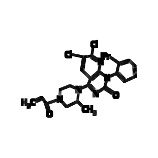 C=CC(=O)N1CCN(c2nc(=O)n(-c3ccccc3C(C)C)c3nc(Cl)c(Cl)cc23)C(C)C1